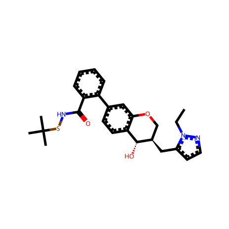 CCn1nccc1C[C@@H]1COc2cc(-c3ccccc3C(=O)NSC(C)(C)C)ccc2[C@H]1O